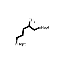 CCCCCCCCC[CH]C(C)CCCCCCCC